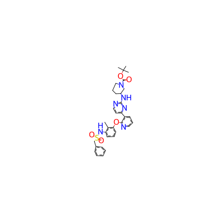 Cc1c(NS(=O)(=O)Cc2ccccc2)cccc1Oc1ncccc1-c1ccnc(N[C@H]2CCCN(C(=O)OC(C)(C)C)C2)n1